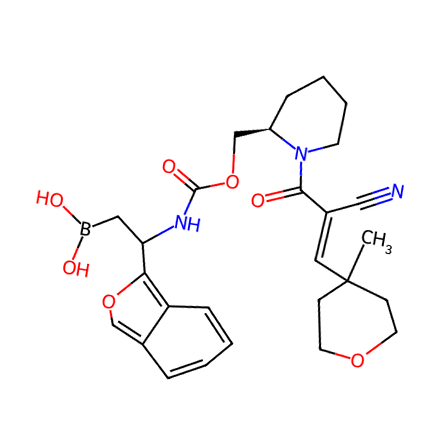 CC1(C=C(C#N)C(=O)N2CCCC[C@@H]2COC(=O)NC(CB(O)O)c2occ3ccccc23)CCOCC1